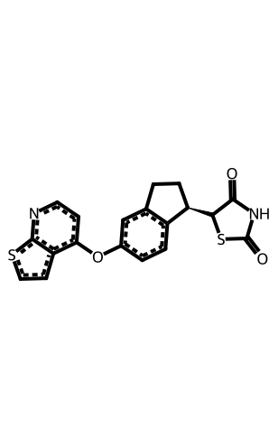 O=C1NC(=O)C([C@@H]2CCc3cc(Oc4ccnc5sccc45)ccc32)S1